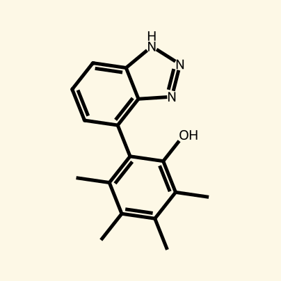 Cc1c(C)c(C)c(-c2cccc3[nH]nnc23)c(O)c1C